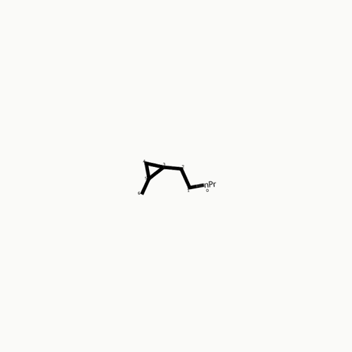 [CH2]CCCCC1CC1C